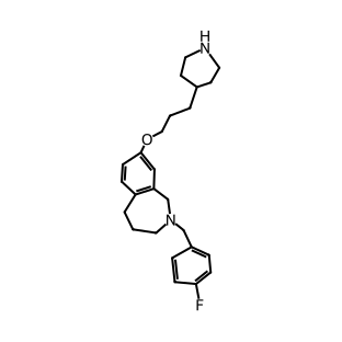 Fc1ccc(CN2CCCc3ccc(OCCCC4CCNCC4)cc3C2)cc1